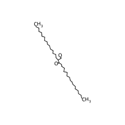 CCCCCCCCCCCCCCCCCC(=O)C(C=O)CCCCCCCCCCCCCCCC